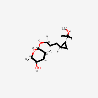 CCOC(C)(C)[C@@H]1C[C@@]1(C)CC[C@@H](C)O[C@@H]1O[C@@H](C)[C@H](O)C[C@H]1C